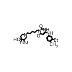 CCCCC1(O)CCN(CCCCCn2c(=O)cc(Nc3ccc(C)c(CC)c3)[nH]c2=O)CC1